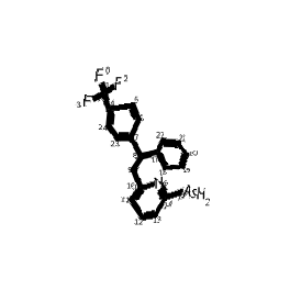 FC(F)(F)c1ccc(C(Cc2cccc([AsH2])n2)c2ccccc2)cc1